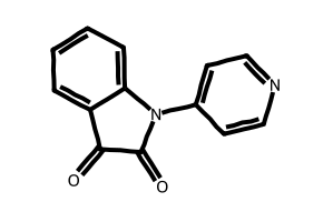 O=C1C(=O)N(c2ccncc2)c2ccccc21